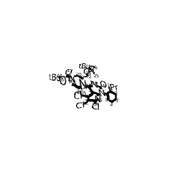 CC(C)c1ccccc1-n1c(=O)nc(N2CCN(C(=O)OC(C)(C)C)C[C@H]2CO[Si](C)(C)C(C)(C)C)c2c(Cl)c(Cl)c(Cl)nc21